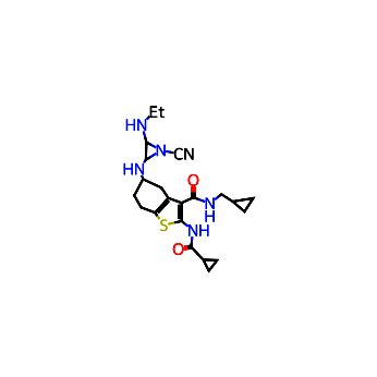 CCNC1C(NC2CCc3sc(NC(=O)C4CC4)c(C(=O)NCC4CC4)c3C2)N1C#N